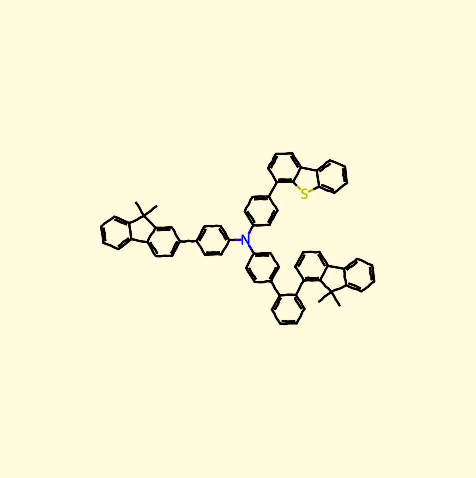 CC1(C)c2ccccc2-c2ccc(-c3ccc(N(c4ccc(-c5ccccc5-c5cccc6c5C(C)(C)c5ccccc5-6)cc4)c4ccc(-c5cccc6c5sc5ccccc56)cc4)cc3)cc21